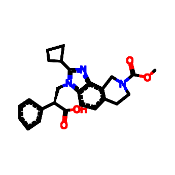 COC(=O)N1CCc2ccc3c(nc(C4CCC4)n3C[C@@H](C(=O)O)c3ccccc3)c2C1